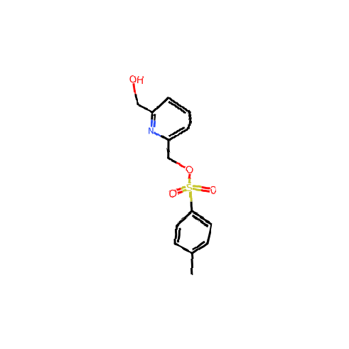 Cc1ccc(S(=O)(=O)OCc2cccc(CO)n2)cc1